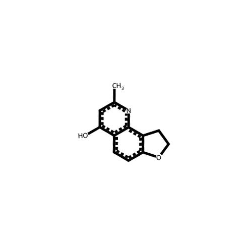 Cc1cc(O)c2ccc3c(c2n1)CCO3